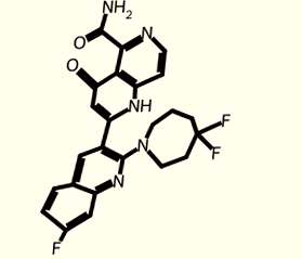 NC(=O)c1nccc2[nH]c(-c3cc4ccc(F)cc4nc3N3CCCC(F)(F)CC3)cc(=O)c12